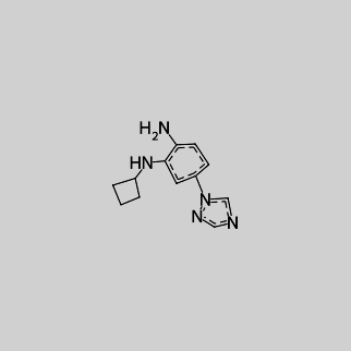 Nc1ccc(-n2cncn2)cc1NC1CCC1